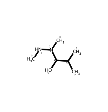 CNN(C)C(O)C(C)C